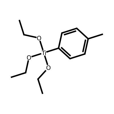 CC[O][Ti]([O]CC)([O]CC)[c]1ccc(C)cc1